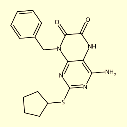 Nc1nc(SC2CCCC2)nc2c1[nH]c(=O)c(=O)n2Cc1ccccc1